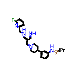 CC(C)SNc1cccc(C2CCN(C/C(C=N)=C/NCc3cccc(F)n3)CC2)c1